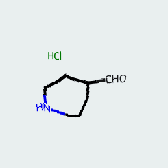 Cl.O=CC1CCNC1